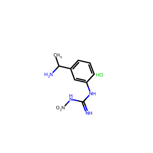 CC(N)c1cccc(NC(=N)N[N+](=O)[O-])c1.Cl